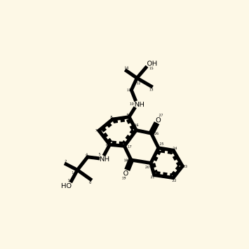 CC(C)(O)CNc1ccc(NCC(C)(C)O)c2c1C(=O)c1ccccc1C2=O